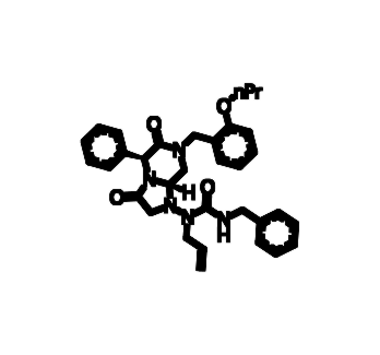 C=CCN(C(=O)NCc1ccccc1)N1CC(=O)N2[C@@H](c3ccccc3)C(=O)N(Cc3ccccc3OCCC)C[C@@H]21